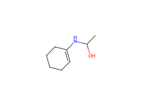 CC(O)NC1=CCCCC1